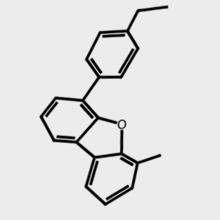 CCc1ccc(-c2cccc3c2oc2c(C)cccc23)cc1